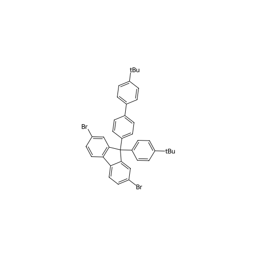 CC(C)(C)c1ccc(-c2ccc(C3(c4ccc(C(C)(C)C)cc4)c4cc(Br)ccc4-c4ccc(Br)cc43)cc2)cc1